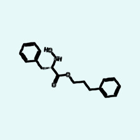 O=C(OCCCc1ccccc1)[C@H](Cc1ccccc1)NO